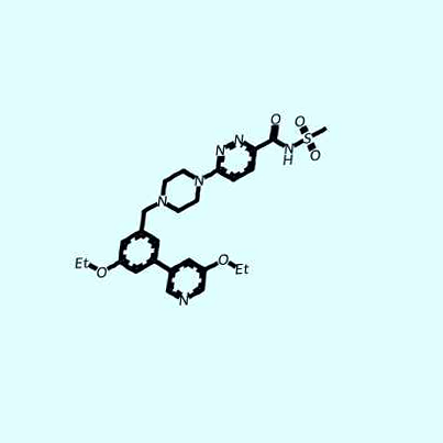 CCOc1cncc(-c2cc(CN3CCN(c4ccc(C(=O)NS(C)(=O)=O)nn4)CC3)cc(OCC)c2)c1